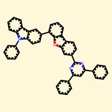 c1ccc(-c2cc(-c3ccccc3)nc(-c3ccc4c(c3)oc3c(-c5ccc6c(c5)c5ccccc5n6-c5ccccc5)cccc34)n2)cc1